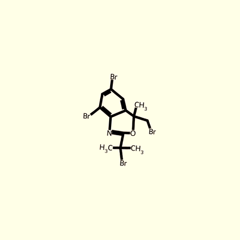 CC(C)(Br)C1=Nc2c(Br)cc(Br)cc2C(C)(CBr)O1